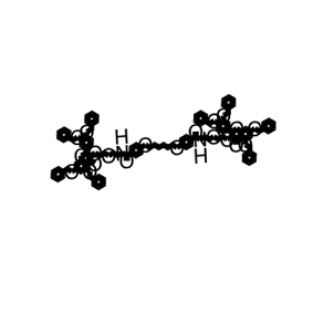 O=C(NCCOCCOc1c(-c2ccc(OCc3ccccc3)c(OCc3ccccc3)c2)oc2cc(OCc3ccccc3)cc(OCc3ccccc3)c2c1=O)c1ccc(OCCCCCCOc2ccc(C(=O)NCCOCCOc3c(-c4ccc(OCc5ccccc5)c(OCc5ccccc5)c4)oc4cc(OCc5ccccc5)cc(OCc5ccccc5)c4c3=O)cc2)cc1